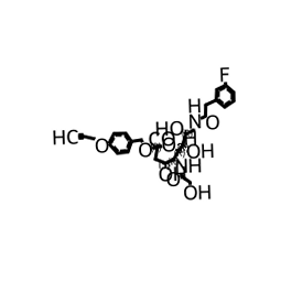 C#CCOc1ccc(CO[C@]2(C(=O)O)C[C@H](O)[C@@H](NC(=O)CO)[C@H]([C@H](O)[C@H](O)CNC(=O)Cc3cccc(F)c3)O2)cc1